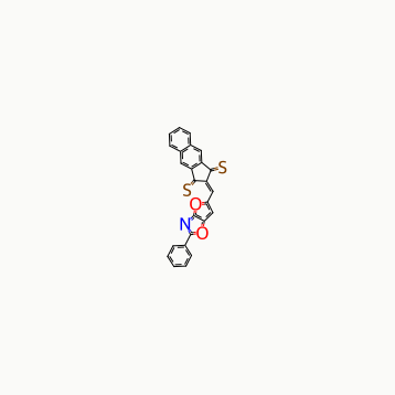 S=C1C(=Cc2cc3oc(-c4ccccc4)nc3o2)C(=S)c2cc3ccccc3cc21